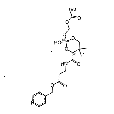 CC(C)(C)C(=O)OCO[P@@]1(O)OCC(C)(C)[C@H](C(=O)NCCC(=O)OCc2ccncc2)O1